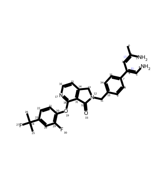 C/C(N)=C/C(=C\N)c1ccc(CN2Cc3ccnc(Oc4ccc(C(C)(C)F)cc4F)c3C2=O)cc1